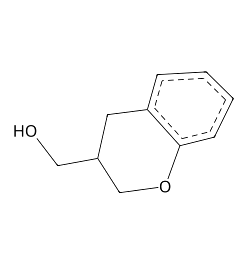 OCC1COc2ccccc2C1